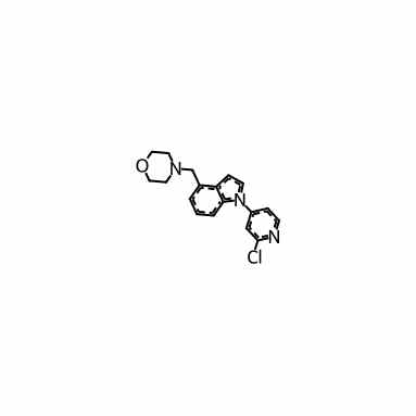 Clc1cc(-n2ccc3c(CN4CCOCC4)cccc32)ccn1